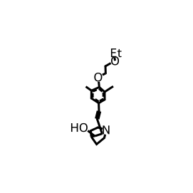 CCOCCOc1c(C)cc(C#CC2C(O)C3CCN2CC3)cc1C